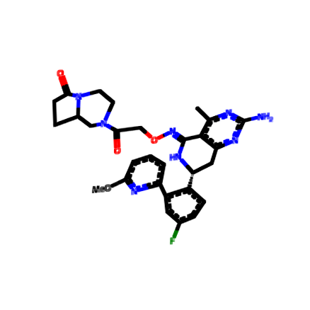 COc1cccc(-c2cc(F)ccc2[C@H]2Cc3nc(N)nc(C)c3/C(=N/OCC(=O)N3CCN4C(=O)CCC4C3)N2)n1